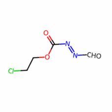 O=CN=NC(=O)OCCCl